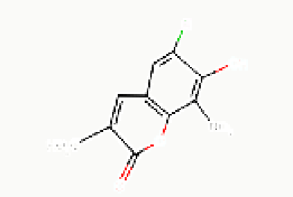 O=C(O)c1cc2cc(Cl)c(O)c([N+](=O)[O-])c2oc1=O